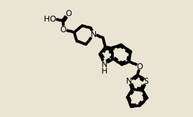 O=C(O)OC1CCN(Cc2c[nH]c3cc(Oc4nc5ccccc5s4)ccc23)CC1